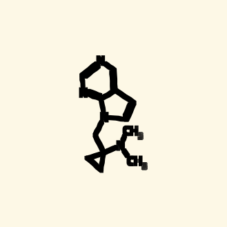 CN(C)C1(Cn2ccc3cncnc32)CC1